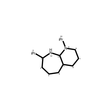 CC(C)C1CCCC2CCCN(C(C)C)C2N1